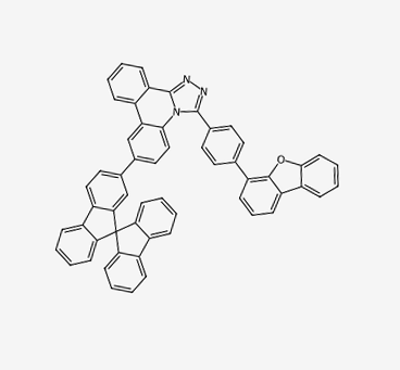 c1ccc2c(c1)-c1ccccc1C21c2ccccc2-c2ccc(-c3ccc4c(c3)c3ccccc3c3nnc(-c5ccc(-c6cccc7c6oc6ccccc67)cc5)n43)cc21